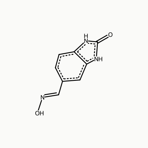 O=c1[nH]c2ccc(C=NO)cc2[nH]1